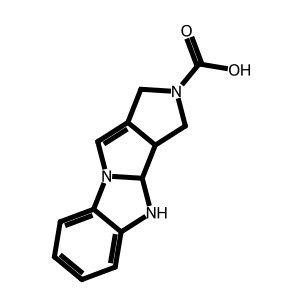 O=C(O)N1CC2=CN3c4ccccc4NC3C2C1